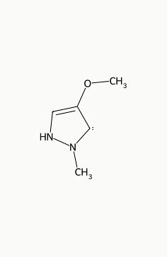 COC1=CNN(C)[C]1